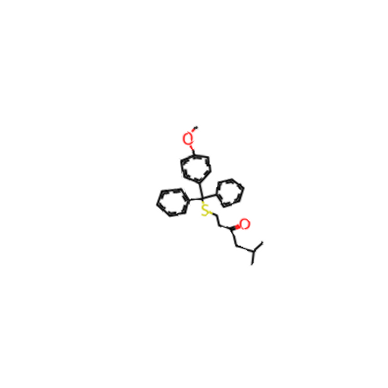 COc1ccc(C(SCCC(=O)CC(C)C)(c2ccccc2)c2ccccc2)cc1